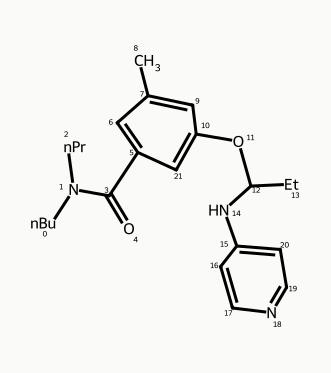 CCCCN(CCC)C(=O)c1cc(C)cc(OC(CC)Nc2ccncc2)c1